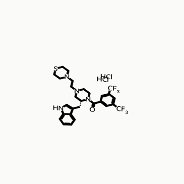 Cl.Cl.O=C(c1cc(C(F)(F)F)cc(C(F)(F)F)c1)N1CCN(CCN2CCSCC2)C[C@H]1Cc1c[nH]c2ccccc12